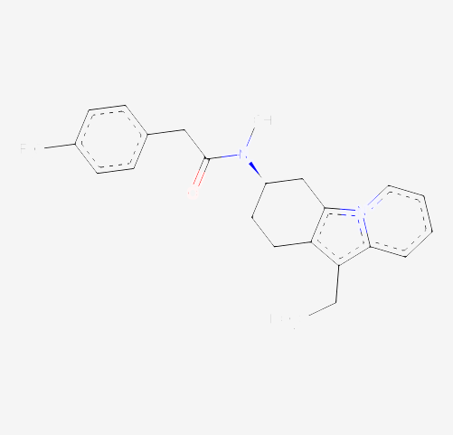 CN(C(=O)Cc1ccc(C(F)(F)F)cc1)[C@@H]1CCc2c(CC(=O)O)c3ccccn3c2C1